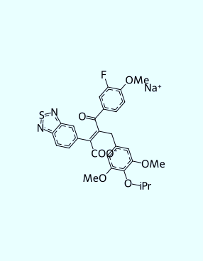 COc1ccc(C(=O)C(Cc2cc(OC)c(OC(C)C)c(OC)c2)=C(C(=O)[O-])c2ccc3nsnc3c2)cc1F.[Na+]